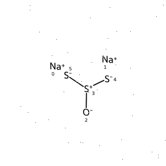 [Na+].[Na+].[O-][S+]([S-])[S-]